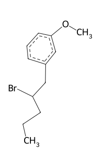 CCCC(Br)Cc1cccc(OC)c1